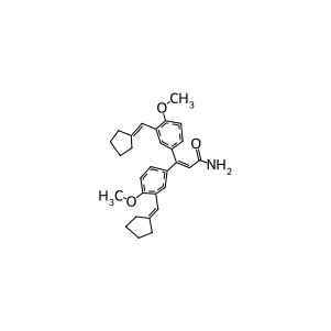 COc1ccc(C(=CC(N)=O)c2ccc(OC)c(C=C3CCCC3)c2)cc1C=C1CCCC1